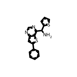 NC(c1cccs1)c1ncnc2cc(-c3ccccc3)sc12